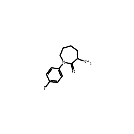 NC1CCCCN(c2ccc(F)cc2)C1=O